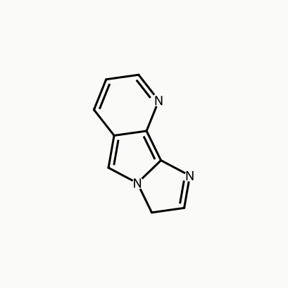 C1=Nc2c3ncccc3cn2C1